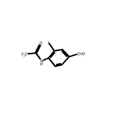 O=Cc1ccc(NC(=O)C(F)(F)F)c(I)c1